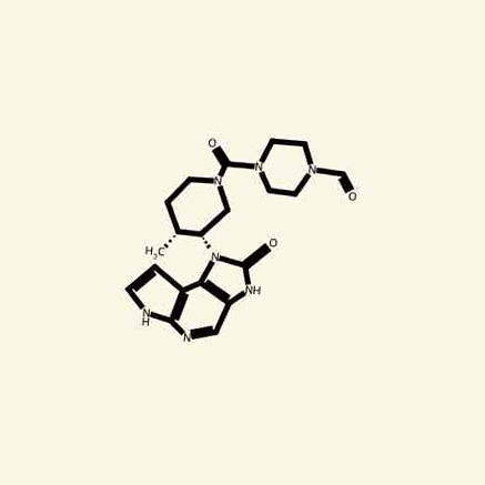 C[C@@H]1CCN(C(=O)N2CCN(C=O)CC2)C[C@@H]1n1c(=O)[nH]c2cnc3[nH]ccc3c21